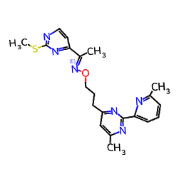 CSc1nccc(/C(C)=N/OCCCc2cc(C)nc(-c3cccc(C)n3)n2)n1